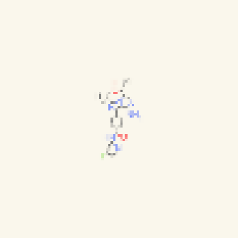 Cc1nc(-c2ccc(C(=O)Nc3cc(F)ccn3)cc2)c2c(N)ncc(C(O)CC(C)C)n12